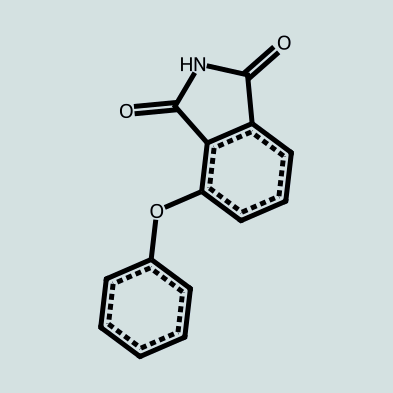 O=C1NC(=O)c2c(Oc3ccccc3)cccc21